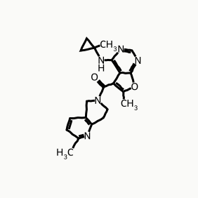 Cc1ccc2c(n1)CCN(C(=O)c1c(C)oc3ncnc(NC4(C)CC4)c13)C2